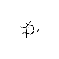 CC(=O)O.CC1(C)CCCC(C)(C)[NH+]1[O-]